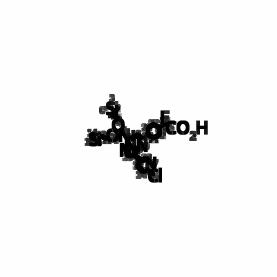 C[Si](C)(C)CCOCN(COCC[Si](C)(C)C)c1cc([C@H]2CC[C@H](C(F)C(=O)O)CC2)nc2c(-c3ccc(Cl)nc3)cnn12